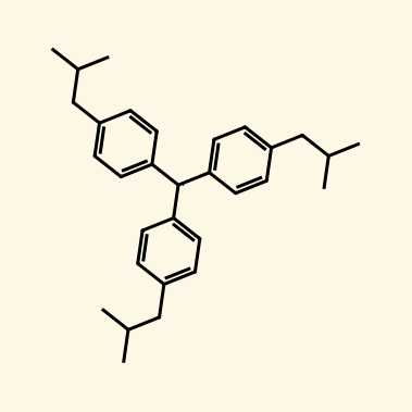 CC(C)Cc1ccc([C](c2ccc(CC(C)C)cc2)c2ccc(CC(C)C)cc2)cc1